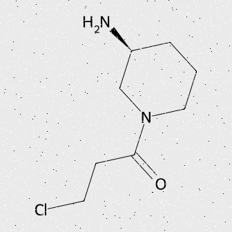 N[C@H]1CCCN(C(=O)CCCl)C1